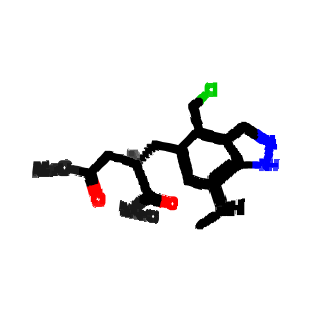 CBc1cc(C[C@@H](CC(=O)OC)C(=O)OC)c(CCl)c2cn[nH]c12